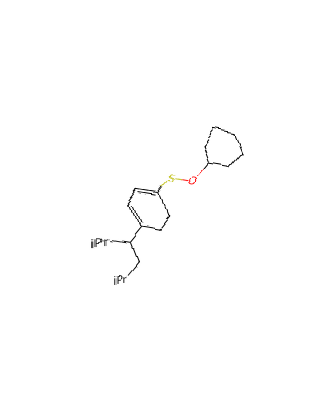 CC(C)CC(C1=CC=C(SOC2CCCCC2)CC1)C(C)C